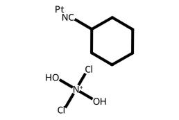 N#CC1CCCCC1.O[N+](O)(Cl)Cl.[Pt]